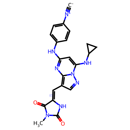 [C-]#[N+]c1ccc(Nc2cc(NC3CC3)n3ncc(/C=C4\NC(=O)N(C)C4=O)c3n2)cc1